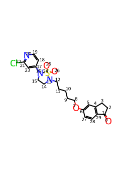 O=C1CCc2cc(OCCCCCN3CCN(c4ccnc(Cl)c4)S3(=O)=O)ccc21